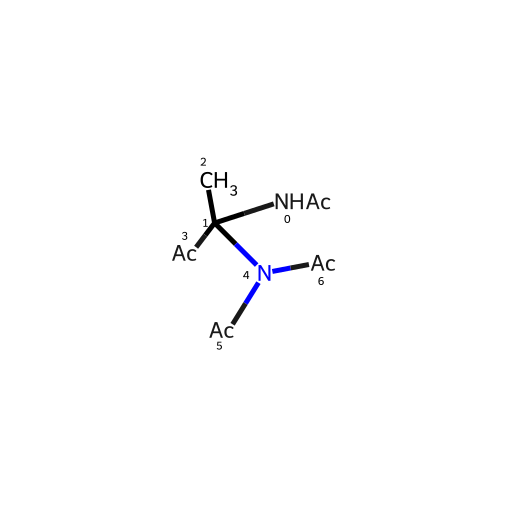 CC(=O)NC(C)(C(C)=O)N(C(C)=O)C(C)=O